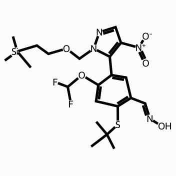 CC(C)(C)Sc1cc(OC(F)F)c(-c2c([N+](=O)[O-])cnn2COCC[Si](C)(C)C)cc1/C=N/O